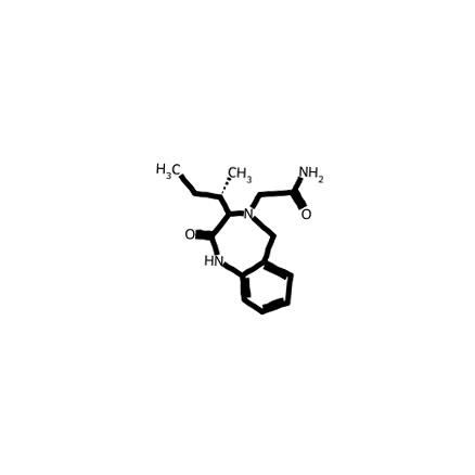 CC[C@H](C)C1C(=O)Nc2ccccc2CN1CC(N)=O